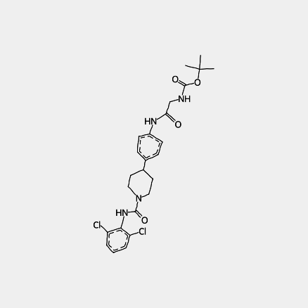 CC(C)(C)OC(=O)NCC(=O)Nc1ccc(C2CCN(C(=O)Nc3c(Cl)cccc3Cl)CC2)cc1